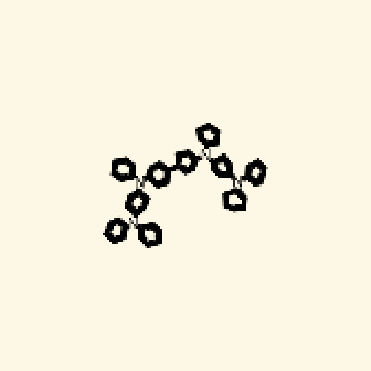 C1=CCCC(N(c2ccccc2)c2ccc(N(c3ccccc3)c3ccc(-c4ccc(N(c5ccccc5)c5ccc(N(c6ccccc6)c6ccccc6)cc5)cc4)cc3)cc2)=C1